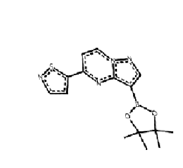 CC1(C)OB(c2cnn3ccc(-c4ccns4)nc23)OC1(C)C